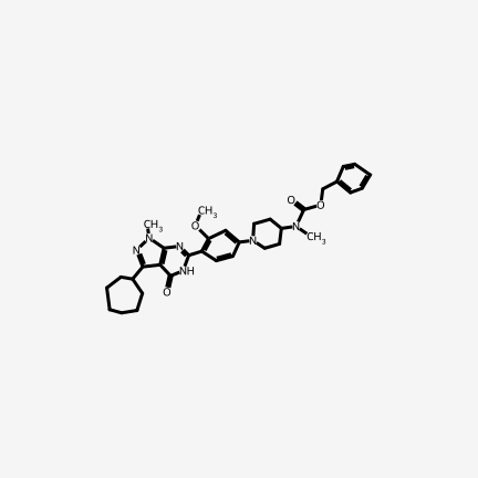 COc1cc(N2CCC(N(C)C(=O)OCc3ccccc3)CC2)ccc1-c1nc2c(c(C3CCCCCC3)nn2C)c(=O)[nH]1